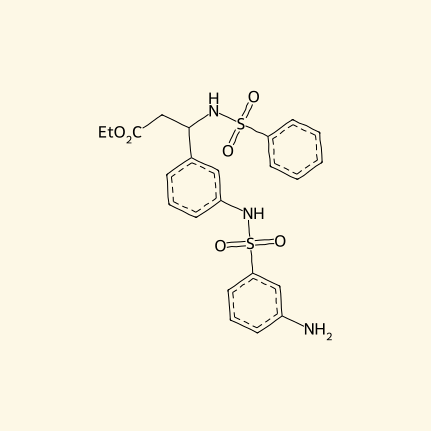 CCOC(=O)CC(NS(=O)(=O)c1ccccc1)c1cccc(NS(=O)(=O)c2cccc(N)c2)c1